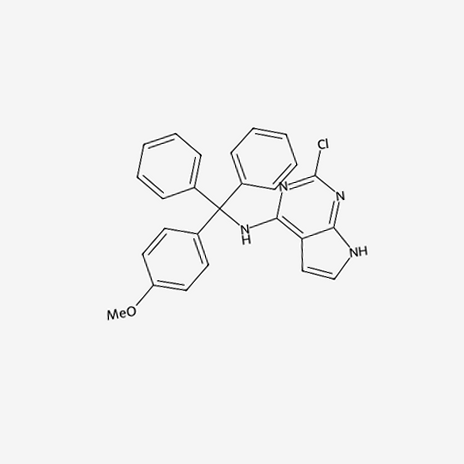 COc1ccc(C(Nc2nc(Cl)nc3[nH]ccc23)(c2ccccc2)c2ccccc2)cc1